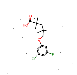 CC(C)(COc1cc(F)cc(Cl)c1)CC(C)(C)C(=O)O